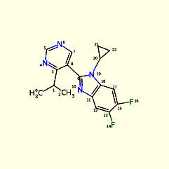 CC(C)c1ncncc1-c1nc2cc(F)c(F)cc2n1C1CC1